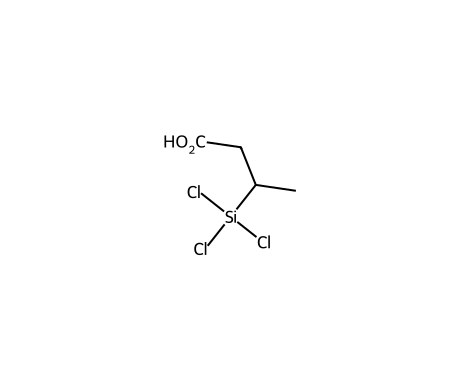 CC(CC(=O)O)[Si](Cl)(Cl)Cl